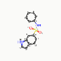 O=S(=O)(Nc1ccccc1)c1ccc2cc[nH]c2c1